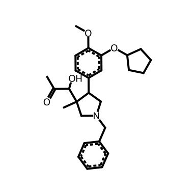 COc1ccc(C2CN(Cc3ccccc3)CC2(C)C(O)C(C)=O)cc1OC1CCCC1